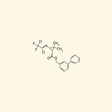 CC1(C)[C@H](C=C(Cl)C(F)(F)Cl)[C@@H]1C(=O)OCc1cccc(-c2ccccc2)c1